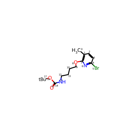 Cc1ccc(Br)nc1OCCCCNC(=O)OC(C)(C)C